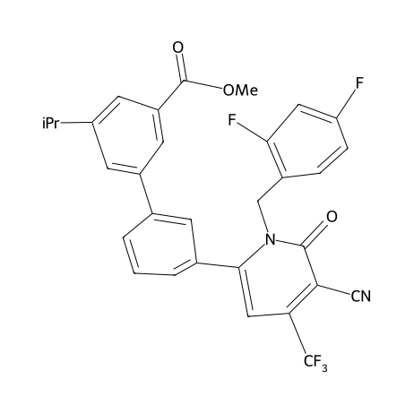 COC(=O)c1cc(-c2cccc(-c3cc(C(F)(F)F)c(C#N)c(=O)n3Cc3ccc(F)cc3F)c2)cc(C(C)C)c1